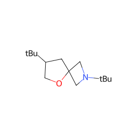 CC(C)(C)C1COC2(C1)CN(C(C)(C)C)C2